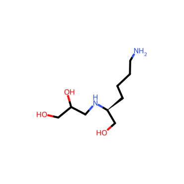 NCCCC[C@@H](CO)NCC(O)CO